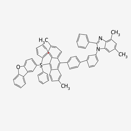 Cc1ccc2c(S(c3ccccc3)(c3ccccc3)c3ccc4oc5ccccc5c4c3)c3cc(C)ccc3c(-c3ccc(-c4cccc(-n5c(-c6ccccc6)nc6c(C)cc(C)cc65)c4)cc3)c2c1